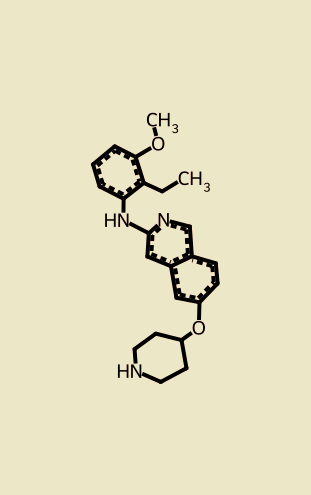 CCc1c(Nc2cc3cc(OC4CCNCC4)ccc3cn2)cccc1OC